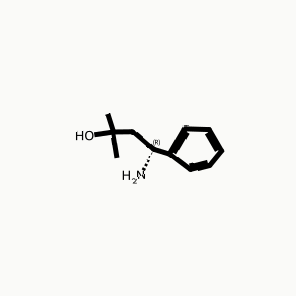 CC(C)(O)C[C@@H](N)c1ccccc1